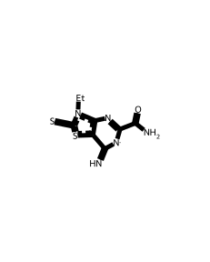 CCn1c2c(sc1=S)C(=N)[N]C(C(N)=O)=N2